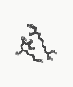 C=C(CC(C)CCCCC)C(=O)O.C=CC(=O)OCCCCCC(C)C